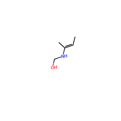 C/C=C(\C)NCO